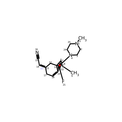 CN1CCN(C2=C3CN(C)CC34C/C(=C\C#N)CC=C4N(F)C=C2)CC1